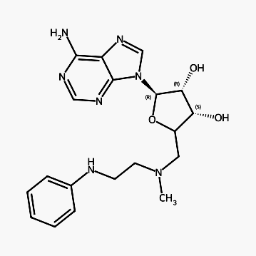 CN(CCNc1ccccc1)CC1O[C@@H](n2cnc3c(N)ncnc32)[C@H](O)[C@@H]1O